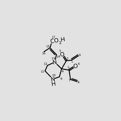 C=CC(=O)C1(C(=O)C=C)CNCCN1C=C(C)C(=O)O